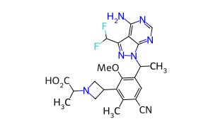 COc1c(C(C)n2nc(C(F)F)c3c(N)ncnc32)cc(C#N)c(C)c1C1CN(C(C)C(=O)O)C1